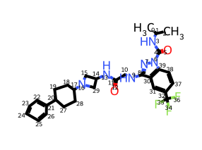 CC(C)NC(=O)n1nc(NCC(=O)NC2CN(C3CCC(c4ccccc4)CC3)C2)c2cc(C(F)(F)F)ccc21